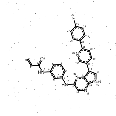 C=CC(=O)Nc1cccc(Nc2cnc3[nH]cc(-c4ccc(-c5ccc(F)cc5)nc4)c3n2)c1